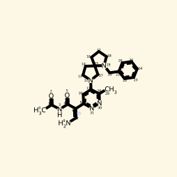 CC(=O)NC(=O)/C(=C\N)c1cc(N2CCC3(CCCN3Cc3ccccc3)C2)c(C)nn1